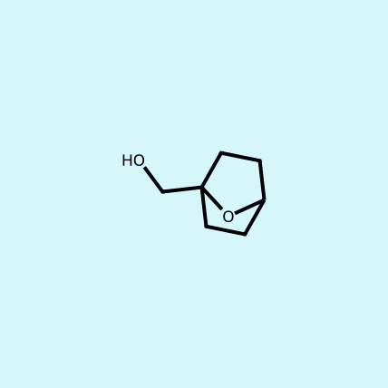 OCC12CCC(CC1)O2